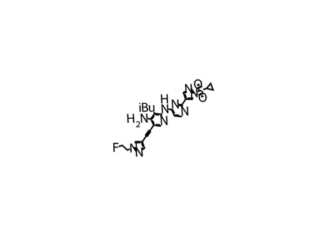 CCC(C)c1c(Nc2ccnc(-c3cnn(S(=O)(=O)C4CC4)c3)n2)ncc(C#Cc2cnn(CCF)c2)c1N